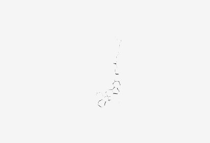 CCCCOCCOC(=O)CCC(=O)Oc1ccc2ccc3c(c2c1)N=CC1(O3)N(CC(C)C)c2ccccc2C1(C)C